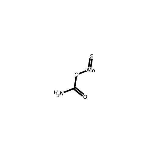 NC(=O)[O][Mo]=[S]